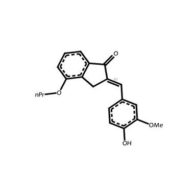 CCCOc1cccc2c1C/C(=C\c1ccc(O)c(OC)c1)C2=O